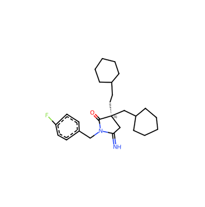 N=C1C[C@](CCC2CCCCC2)(CC2CCCCC2)C(=O)N1Cc1ccc(F)cc1